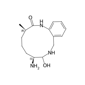 C[C@@H]1CCC[C@H](N)C(O)NCc2ccccc2NC1=O